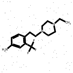 CCN1CCN(CCc2ccc(N)cc2C(F)(F)F)CC1